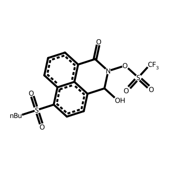 CCCCS(=O)(=O)c1ccc2c3c(cccc13)C(=O)N(OS(=O)(=O)C(F)(F)F)C2O